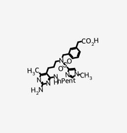 CCCCCNc1nc(N)nc(C)c1CCCN(Cc1cccc(CC(=O)O)c1)S(=O)(=O)c1cn(C)cn1